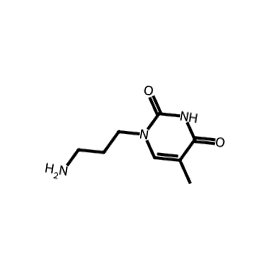 Cc1cn(CCCN)c(=O)[nH]c1=O